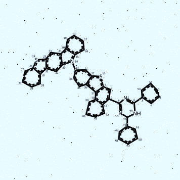 c1ccc(C2=NC(c3cc4sc5cc(-n6c7ccccc7c7cc8sc9ccccc9c8cc76)ccc5c4c4ccccc34)=NC(c3ccccc3)N2)cc1